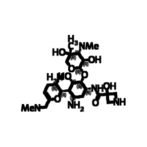 CNCC1=CC[C@@H](N)[C@@H](C2[C@@H](N)C[C@@H](NC(=O)C3(O)CNC3)[C@H](O[C@H]3OC[C@](C)(O)[C@H](NC)[C@H]3O)[C@H]2O)O1